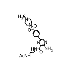 CC(=O)NCCNC(=O)c1nc(-c2ccc(S(=O)(=O)N3CCN(C)CC3)cc2)cnc1N